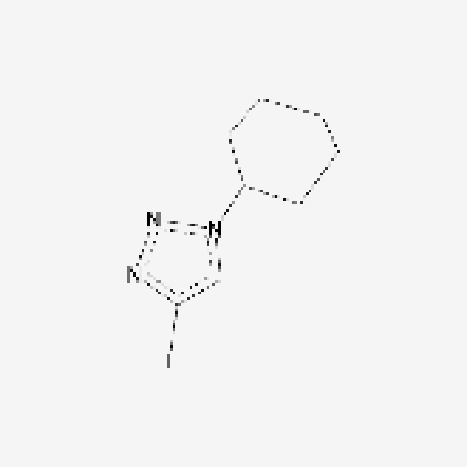 Ic1cn(C2CCCCC2)nn1